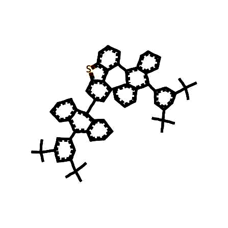 CC(C)(C)c1cc(-c2c3ccccc3c(-c3ccc4c(c3)sc3cccc(-c5c6ccccc6c(-c6cc(C(C)(C)C)cc(C(C)(C)C)c6)c6ccccc56)c34)c3ccccc23)cc(C(C)(C)C)c1